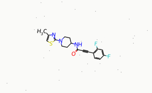 Cc1csc(N2CCC(NC(=O)C#Cc3ccc(F)cc3F)CC2)n1